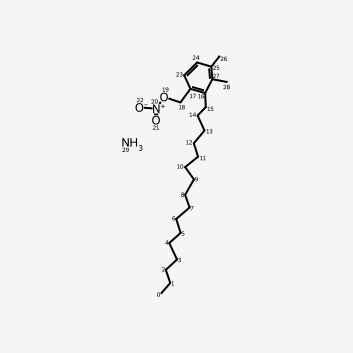 CCCCCCCCCCCCCCCCc1c(CO[N+](=O)[O-])ccc(C)c1C.N